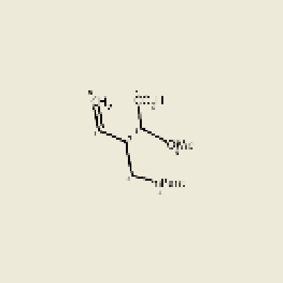 C=CCCCCCCC.COCC(=O)O